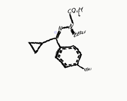 CC(C)(C)c1ccc(/C(=N\N(C(=O)O)C(C)(C)C)C2CC2)cc1